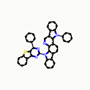 c1ccc(-c2nc(-n3c4ccccc4c4ccc5c(ncc6c7ccccc7n(-c7ccccc7)c65)c43)nc3c2sc2ccccc23)cc1